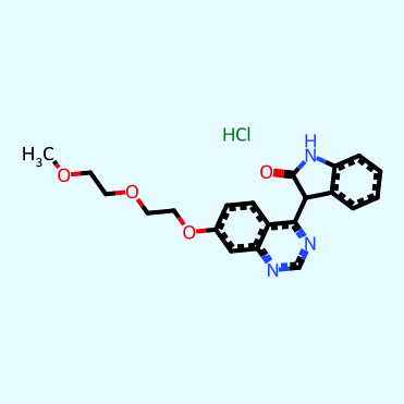 COCCOCCOc1ccc2c(C3C(=O)Nc4ccccc43)ncnc2c1.Cl